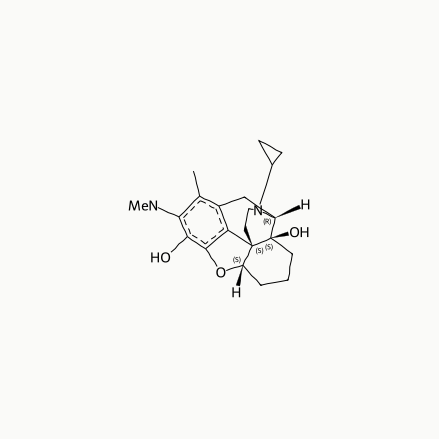 CNc1c(C)c2c3c(c1O)O[C@H]1CCC[C@@]4(O)[C@@H](C2)N(C2CC2)CC[C@]314